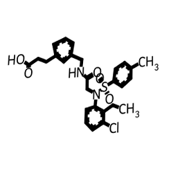 CCc1c(Cl)cccc1N(CC(=O)NCc1cccc(CCC(=O)O)c1)S(=O)(=O)c1ccc(C)cc1